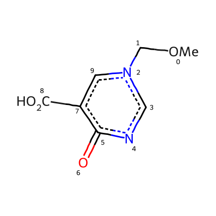 COCn1cnc(=O)c(C(=O)O)c1